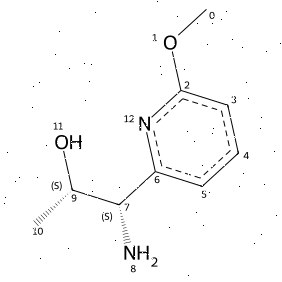 COc1cccc([C@H](N)[C@H](C)O)n1